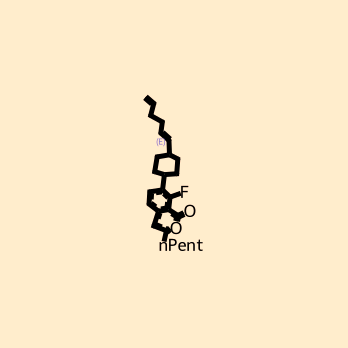 C=CCC/C=C/C1CCC(c2ccc3cc(CCCCC)oc(=O)c3c2F)CC1